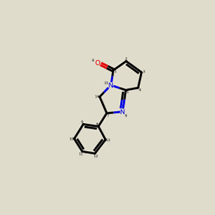 O=C1C=CCC2=NC(c3ccccc3)CN12